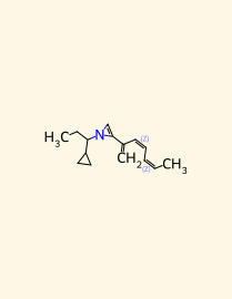 C=C(/C=C\C=C/C)C1=CN1C(CC)C1CC1